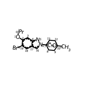 CC(C)Oc1cc2nn(C34CCC(C)(CC3)OC4)cc2cc1Br